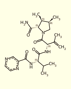 C=C(C)[C@H](NC(=O)[C@@H](NC(=O)c1cnccn1)C(C)C)C(=O)N1C[C@H](C)[C@H](C)[C@H]1C(N)=O